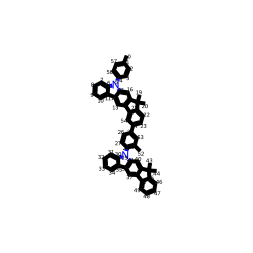 Cc1ccc(-n2c3ccccc3c3cc4c(cc32)C(C)(C)c2ccc(-c3ccc(-n5c6ccccc6c6cc7c(cc65)C(C)(C)c5ccccc5-7)c(C)c3)cc2-4)cc1